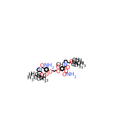 COc1cc(C(=O)N2CCCC2CO[Si](C)(C)C(C)(C)C)c(N)cc1OCCCOc1cc(OC(N)=O)c(C(=O)N2CCCC2CO[Si](C)(C)C(C)(C)C)cc1OC